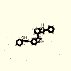 OC1(C#Cc2ccc3[nH]cc(-c4ccnc5[nH]c(-c6ccccc6)cc45)c3c2)CCCCC1